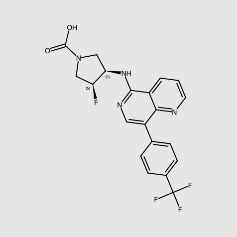 O=C(O)N1C[C@H](F)[C@H](Nc2ncc(-c3ccc(C(F)(F)F)cc3)c3ncccc23)C1